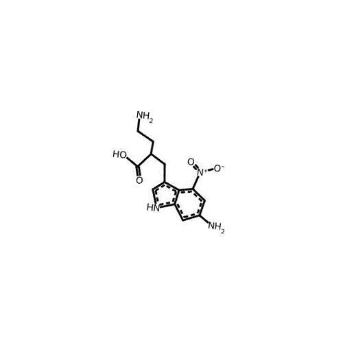 NCCC(Cc1c[nH]c2cc(N)cc([N+](=O)[O-])c12)C(=O)O